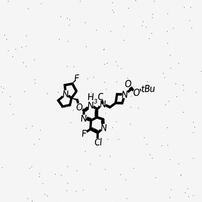 CN(CC1CN(C(=O)OC(C)(C)C)C1)c1nc(OC[C@@]23CCCN2C[C@H](F)C3)nc2c(F)c(Cl)ncc12